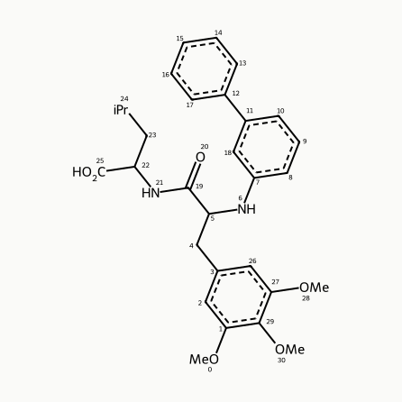 COc1cc(CC(Nc2cccc(-c3ccccc3)c2)C(=O)NC(CC(C)C)C(=O)O)cc(OC)c1OC